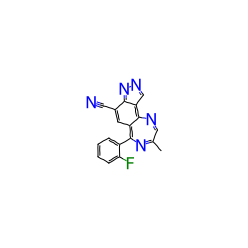 Cc1cnc2c(cc(C#N)c3nncc32)c(-c2ccccc2F)n1